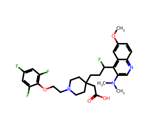 COc1ccc2ncc(N(C)C)c(C(F)CCC3(CC(=O)O)CCN(CCOc4c(F)cc(F)cc4F)CC3)c2c1